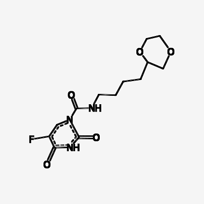 O=C(NCCCCC1COCCO1)n1cc(F)c(=O)[nH]c1=O